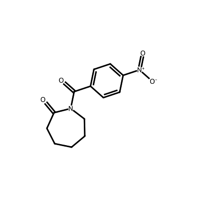 O=C1CCCCCN1C(=O)c1ccc([N+](=O)[O-])cc1